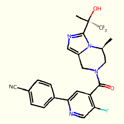 C[C@H]1CN(C(=O)c2cc(-c3ccc(C#N)cc3)ncc2F)Cc2cnc([C@@](C)(O)C(F)(F)F)n21